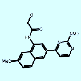 CNc1nccc(-c2cc(NC(=O)CCl)c3cc(OC)ccc3c2)n1